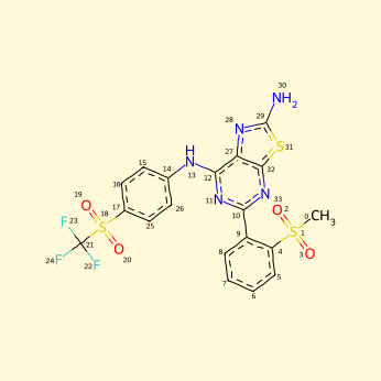 CS(=O)(=O)c1ccccc1-c1nc(Nc2ccc(S(=O)(=O)C(F)(F)F)cc2)c2nc(N)sc2n1